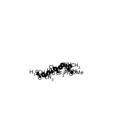 COC(=O)N[C@H](C(=O)N1C[C@@H](C)C[C@H]1c1nc2c(ccc3cc(-c4cc(Cl)c(NC(=O)c5ccc(N6CCN(C(=O)[C@H]7CC7(C)C)CC6C)nc5)cc4OC(F)(F)F)ccc32)[nH]1)C(C)C